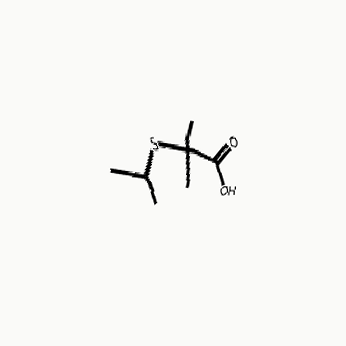 CC(C)SC(C)(C)C(=O)O